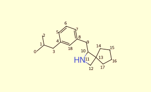 CC(C)Cc1cccc(CC2NCC23CCCC3)c1